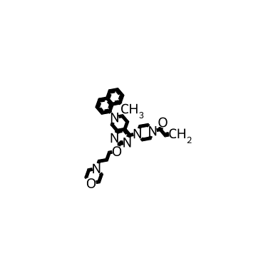 C=CC(=O)N1CCN(c2nc(OCCCN3CCOCC3)nc3c2CCN(c2cccc4cccc(C)c24)C3)CC1